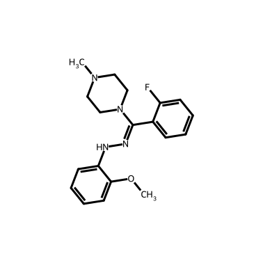 COc1ccccc1NN=C(c1ccccc1F)N1CCN(C)CC1